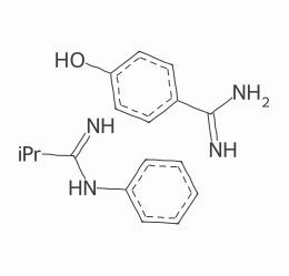 CC(C)C(=N)Nc1ccccc1.N=C(N)c1ccc(O)cc1